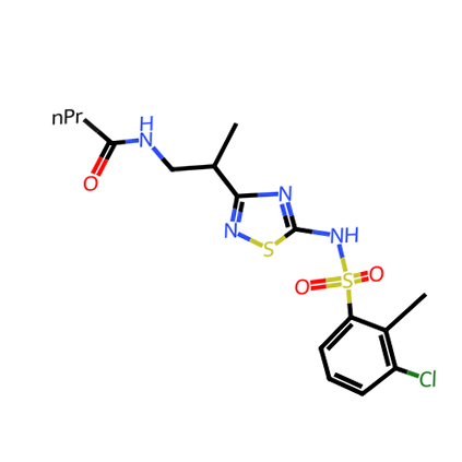 CCCC(=O)NCC(C)c1nsc(NS(=O)(=O)c2cccc(Cl)c2C)n1